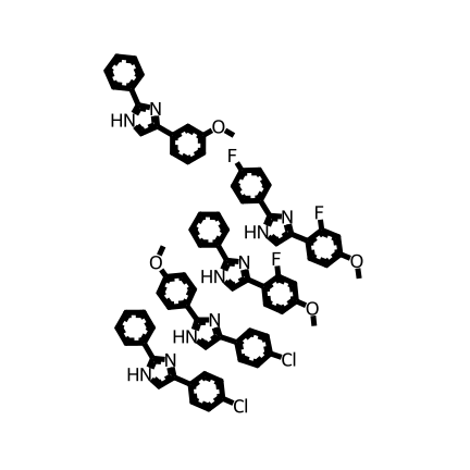 COc1ccc(-c2c[nH]c(-c3ccc(F)cc3)n2)c(F)c1.COc1ccc(-c2c[nH]c(-c3ccccc3)n2)c(F)c1.COc1ccc(-c2nc(-c3ccc(Cl)cc3)c[nH]2)cc1.COc1cccc(-c2c[nH]c(-c3ccccc3)n2)c1.Clc1ccc(-c2c[nH]c(-c3ccccc3)n2)cc1